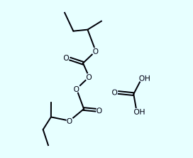 CCC(C)OC(=O)OOC(=O)OC(C)CC.O=C(O)O